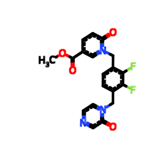 COC(=O)c1ccc(=O)n(Cc2ccc(Cn3ccncc3=O)c(F)c2F)c1